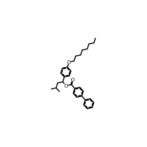 CCCCCCCCOc1ccc(C(CC(C)C)OC(=O)c2ccc(-c3ccccc3)cc2)cc1